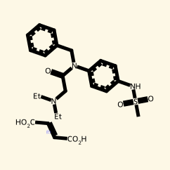 CCN(CC)CC(=O)N(Cc1ccccc1)c1ccc(NS(C)(=O)=O)cc1.O=C(O)/C=C/C(=O)O